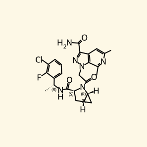 Cc1cc2c(C(N)=O)nn(CC(=O)N3[C@@H]4C[C@@H]4C[C@H]3C(=O)N[C@H](C)c3cccc(Cl)c3F)c2c(C)n1